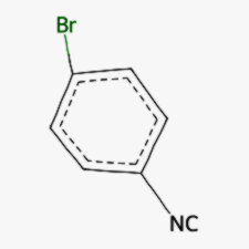 [C-]#[N+]c1ccc(Br)cc1